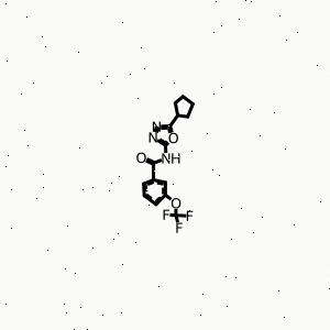 O=C(Nc1nnc(C2CCCC2)o1)c1cccc(OC(F)(F)F)c1